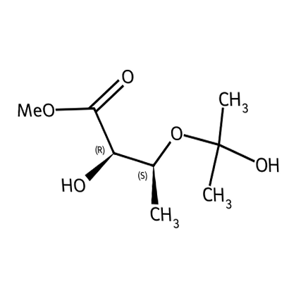 COC(=O)[C@H](O)[C@H](C)OC(C)(C)O